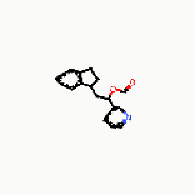 O=COC(CC1CCc2ccccc21)c1cccnc1